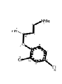 CCC[C@H](CCNC)Oc1ccc(Cl)cc1Cl